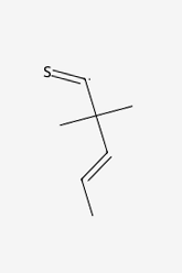 C/C=C/C(C)(C)[C]=S